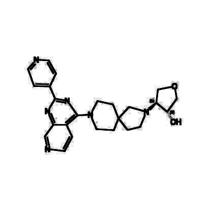 O[C@H]1COC[C@@H]1N1CCC2(CCN(c3nc(-c4ccncc4)nc4cnccc34)CC2)C1